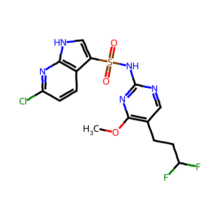 COc1nc(NS(=O)(=O)c2c[nH]c3nc(Cl)ccc23)ncc1CCC(F)F